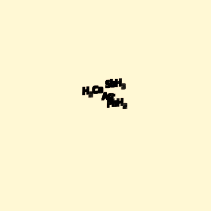 [Ag].[CaH2].[PbH2].[SbH3]